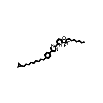 CCCCCCCC1Oc2ccc(-c3ncc(-c4ccc(CCCCCCCCCC5CC5)cc4)cn3)nc2C1(F)F